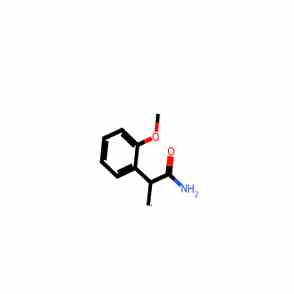 [CH2]C(C(N)=O)c1ccccc1OC